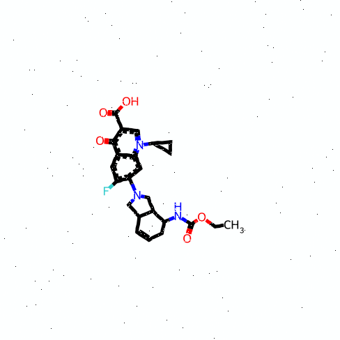 CCOC(=O)NC1CC=CC2CN(c3cc4c(cc3F)c(=O)c(C(=O)O)cn4C3CC3)CC21